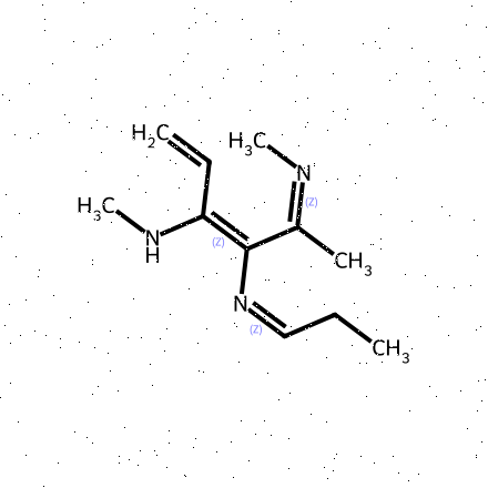 C=C/C(NC)=C(/N=C\CC)C(\C)=N/C